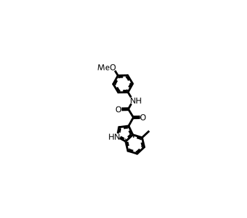 COc1ccc(NC(=O)C(=O)c2c[nH]c3cccc(C)c23)cc1